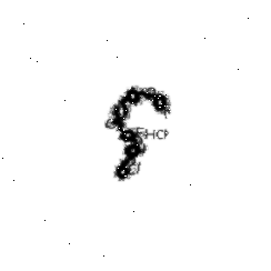 Cl.O=C(C=Cc1ccc(Oc2ccc(OCc3ccccc3Cl)cn2)c(F)c1)N1CCN(Cc2ccc(CCOc3ccc(F)cc3)cc2)CC1